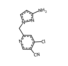 N#Cc1cnc(Cn2ccc(N)n2)cc1Cl